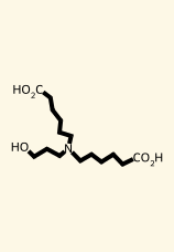 O=C(O)CCCCCN(CCCO)CCCCCC(=O)O